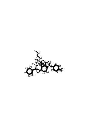 CCCCS(=O)(=O)N[C@@H](C)[C@@H](Oc1ccc2c(cnn2-c2ccc(F)cc2)c1)c1ccccc1